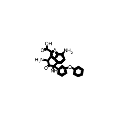 Nc1ccc2c3c(c(C(=O)O)sc13)C(N)C(=O)C2(N)c1cccc(Oc2ccccc2)c1